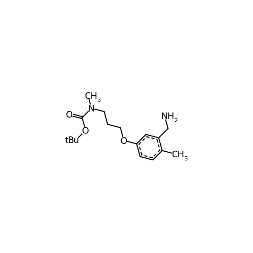 Cc1ccc(OCCCN(C)C(=O)OC(C)(C)C)cc1CN